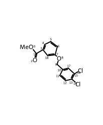 COC(=O)c1cccc(OCc2ccc(Cl)c(Cl)c2)c1